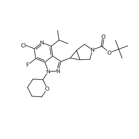 CC(C)c1nc(Cl)c(F)c2c1c(C1C3CN(C(=O)OC(C)(C)C)CC31)nn2C1CCCCO1